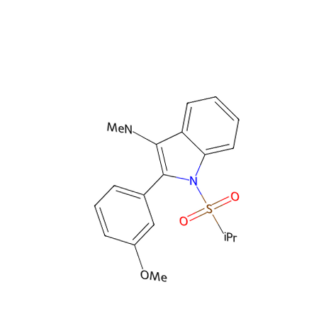 CNc1c(-c2cccc(OC)c2)n(S(=O)(=O)C(C)C)c2ccccc12